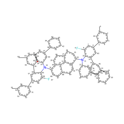 Cc1cccc(-c2cc(F)c(N(c3cccc(-c4ccccc4)c3)c3ccc4ccc5c(N(c6cccc(-c7ccccc7)c6)c6c(F)cc(-c7cccc(C)c7)cc6-c6cccc(C)c6)ccc6ccc3c4c65)c(-c3cccc(C)c3)c2)c1